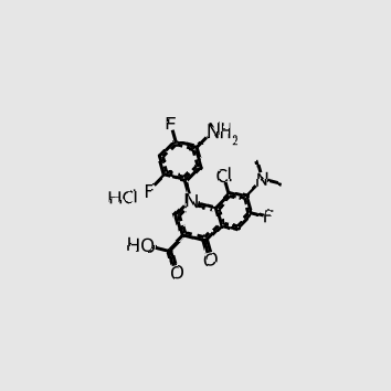 CN(C)c1c(F)cc2c(=O)c(C(=O)O)cn(-c3cc(N)c(F)cc3F)c2c1Cl.Cl